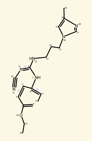 C=C(/C=C\C(=C/C)N/C(=N\C#N)NCCCn1cnc(C)c1)OCC